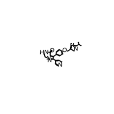 CC(C)c1ncc(COc2ccc(-c3c(-c4ccncc4)nn4c3C(=O)NCC4)cc2)cn1